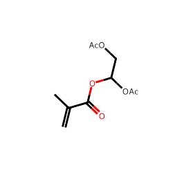 C=C(C)C(=O)OC(COC(C)=O)OC(C)=O